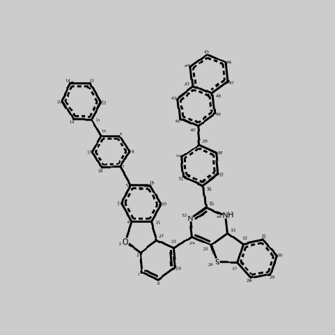 C1=CC2Oc3cc(-c4ccc(-c5ccccc5)cc4)ccc3C2C(C2=C3Sc4ccccc4C3NC(c3ccc(-c4ccc5ccccc5c4)cc3)=N2)=C1